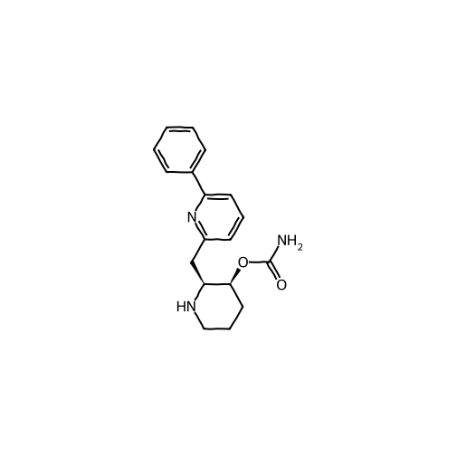 NC(=O)O[C@H]1CCCN[C@H]1Cc1cccc(-c2ccccc2)n1